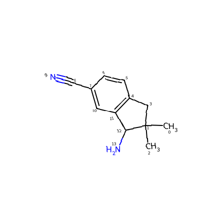 CC1(C)Cc2ccc(C#N)cc2C1N